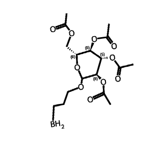 BCCCOC1O[C@H](COC(C)=O)[C@@H](OC(C)=O)[C@H](OC(C)=O)[C@H]1OC(C)=O